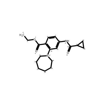 CCOC(=O)c1ccc(NC(=O)C2CC2)cc1N1CCCCCC1